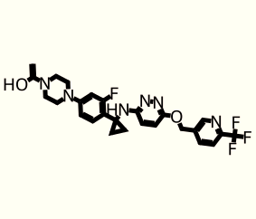 C=C(O)N1CCN(c2ccc(C3(Nc4ccc(OCc5ccc(C(F)(F)F)nc5)nn4)CC3)c(F)c2)CC1